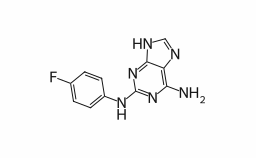 Nc1nc(Nc2ccc(F)cc2)nc2[nH]cnc12